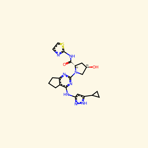 O=C(Nc1nccs1)[C@@H]1C[C@@H](O)CN1c1nc2c(c(Nc3cc(C4CC4)[nH]n3)n1)CCC2